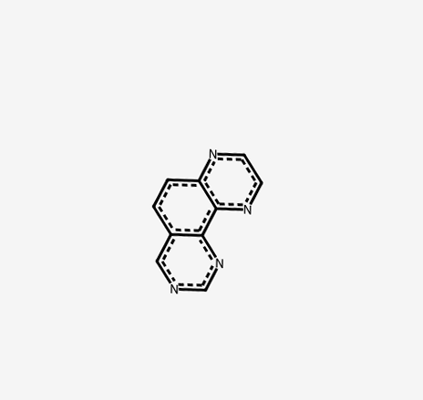 c1cnc2c(ccc3cncnc32)n1